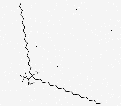 CCCCCCCCCCCCCCCCCCC(O)(CCCCCCCCCCCCCCCCCC)C([PH-])[N+](C)(C)C